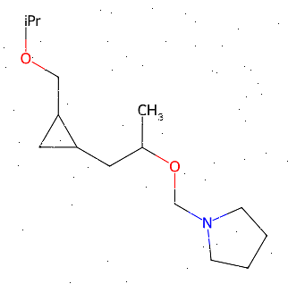 CC(C)OCC1CC1CC(C)OCN1CCCC1